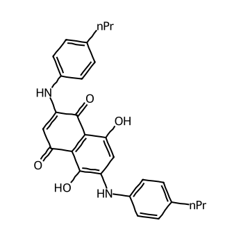 CCCc1ccc(NC2=CC(=O)c3c(O)c(Nc4ccc(CCC)cc4)cc(O)c3C2=O)cc1